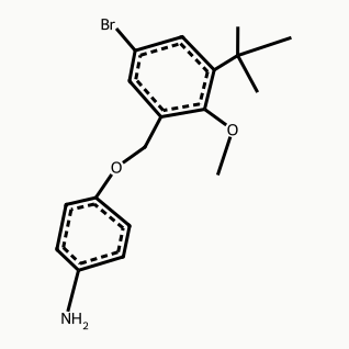 COc1c(COc2ccc(N)cc2)cc(Br)cc1C(C)(C)C